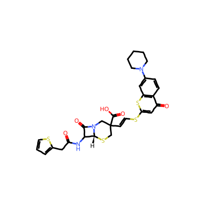 O=C(Cc1cccs1)NC1C(=O)N2CC(C=CSc3cc(=O)c4ccc(N5CCCCC5)cc4s3)(C(=O)O)CS[C@H]12